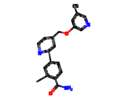 Cc1cc(-c2cc(COc3cncc(C#N)c3)ccn2)ccc1C(N)=O